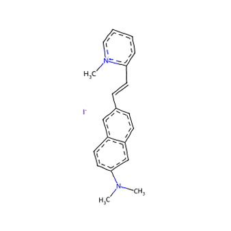 CN(C)c1ccc2cc(/C=C/c3cccc[n+]3C)ccc2c1.[I-]